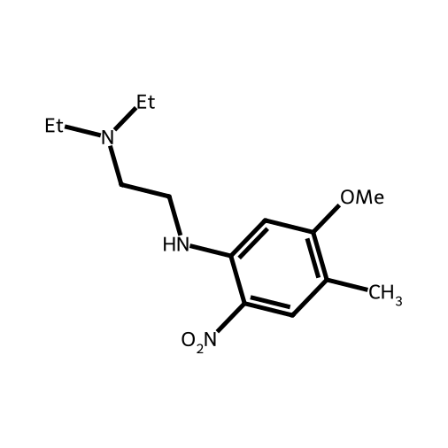 CCN(CC)CCNc1cc(OC)c(C)cc1[N+](=O)[O-]